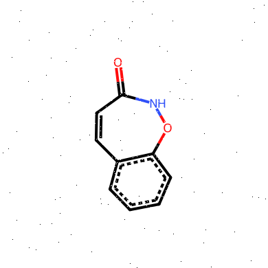 O=C1C=Cc2ccccc2ON1